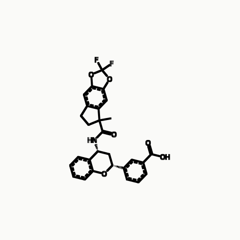 CC1(C(=O)N[C@@H]2C[C@H](c3cccc(C(=O)O)c3)Oc3ccccc32)CCc2cc3c(cc21)OC(F)(F)O3